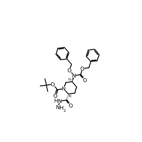 CC(C)(C)OC(=O)N1C[C@@H](N(OCc2ccccc2)C(=O)OCc2ccccc2)CC[C@@H]1C(=O)NN